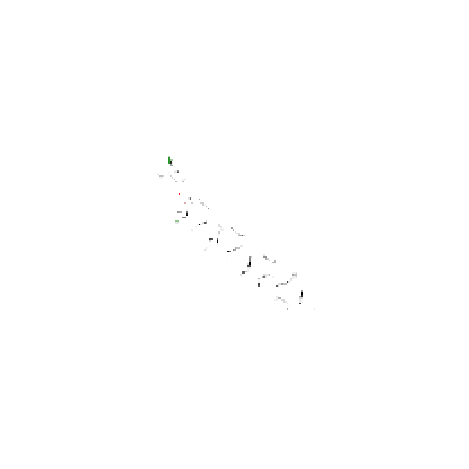 Cc1ccc(-c2ccc(-c3ccc(-c4ccc(OC=C(F)F)c(F)c4)c(F)c3)cc2)cc1